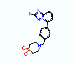 O=S1(=O)CCN(Cc2ccc(-c3cccc4nc(I)nn34)cc2)CC1